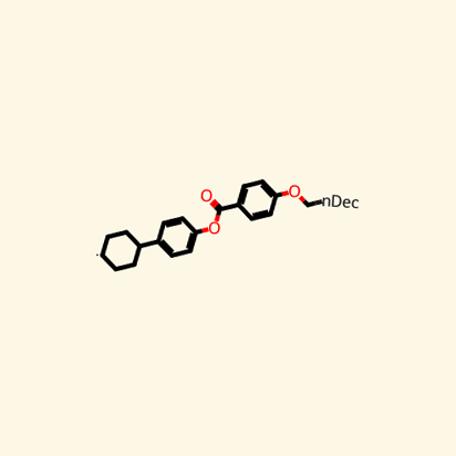 CCCCCCCCCCCOc1ccc(C(=O)Oc2ccc(C3CC[CH]CC3)cc2)cc1